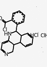 Cl.Cl.O=C(Cl)c1ccccc1C1NC2=CC=NCC2C2C=CC=CC12